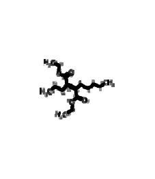 CCCCCC(C(=O)OCC)=C(CCC)C(=O)OCC